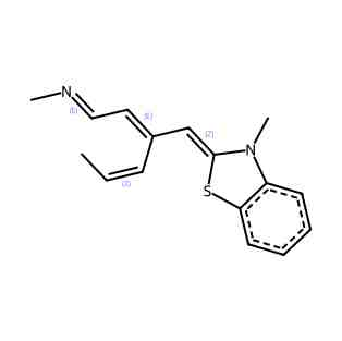 C\C=C/C(/C=C1\Sc2ccccc2N1C)=C\C=N\C